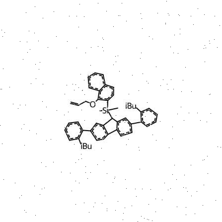 C=CCOc1c([Si](C)(C)C2c3cc(-c4ccccc4C(C)CC)ccc3-c3ccc(-c4ccccc4C(C)CC)cc32)ccc2ccccc12